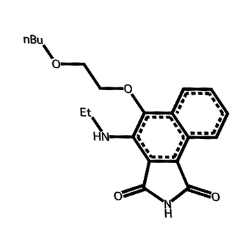 CCCCOCCOc1c(NCC)c2c(c3ccccc13)C(=O)NC2=O